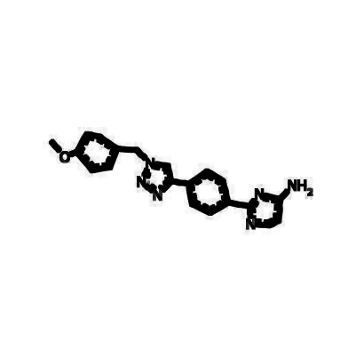 COc1ccc(Cn2cc(-c3ccc(-c4nccc(N)n4)cc3)nn2)cc1